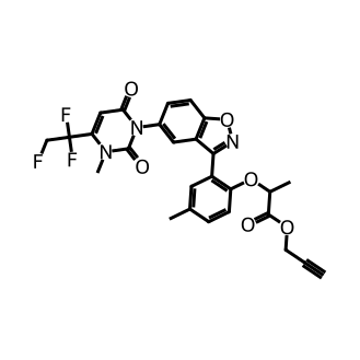 C#CCOC(=O)C(C)Oc1ccc(C)cc1-c1noc2ccc(-n3c(=O)cc(C(F)(F)CF)n(C)c3=O)cc12